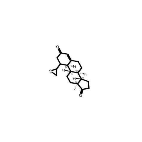 C[C@]12CC[C@H]3[C@@H](CCC4=CC(=O)CC(C5CS5)[C@@H]43)[C@@H]1CCC2=O